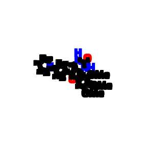 COc1ccc(C2NC(=O)NC=C2C(=O)c2ccc(N3CCCCC3)cc2)c(OC)c1OC